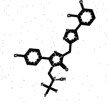 O=c1n(Cc2nnc(-c3cccc(Cl)c3Cl)s2)nc(-c2ccc(Cl)cc2)n1C[C@H](O)C(F)(F)F